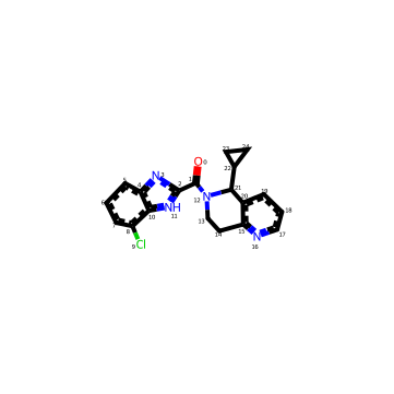 O=C(c1nc2cccc(Cl)c2[nH]1)N1CCc2ncccc2C1C1CC1